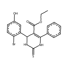 CCOC(=O)C1=C(c2ccccc2)NC(=S)NC1c1cc(O)ccc1Br